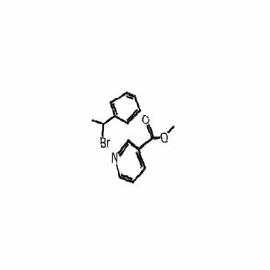 CC(Br)c1ccccc1.COC(=O)c1cccnc1